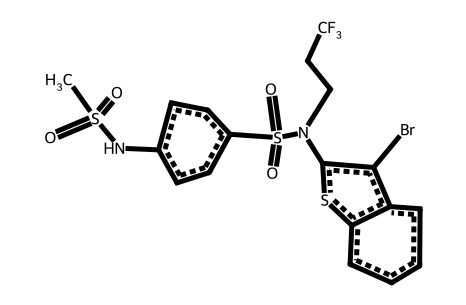 CS(=O)(=O)Nc1ccc(S(=O)(=O)N(CCC(F)(F)F)c2sc3ccccc3c2Br)cc1